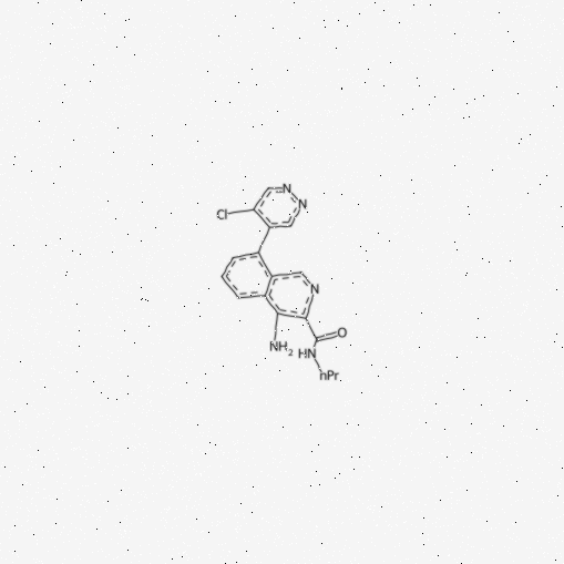 CCCNC(=O)c1ncc2c(-c3cnncc3Cl)cccc2c1N